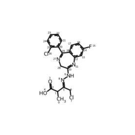 CC(C(=O)O)C(CCl)=NNC1=Nc2cc(F)ccc2C(c2ccccc2Cl)=NC1